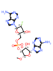 CO[C@H]1O[C@@H](n2cnc3c(N)ncnc32)[C@@H](O)[C@H]1OP(=O)(O)OC[C@H]1O[C@@H](n2cnc3c(N)ncnc32)[C@@H](F)[C@H]1O